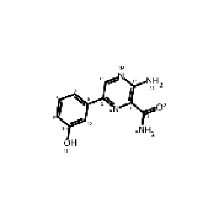 NC(=O)c1nc(-c2cccc(O)c2)cnc1N